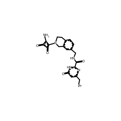 CC(C)Cc1cc(=O)[nH]c(C(=O)NCc2ccc3c(c2)CN(c2c(N)c(=O)c2=O)CC3)n1